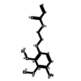 C=CC(=O)OCCOc1ccc(CCC)c(OCC)c1OCC